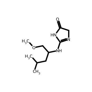 COCC(CC(C)C)NC1=NCC(=O)N1